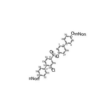 CCCCCCCCCOc1ccc(-c2ccc(OC(=O)c3ccc(-c4ccc(CCCCCCCCC)cc4)c(Cl)c3)cc2)cc1